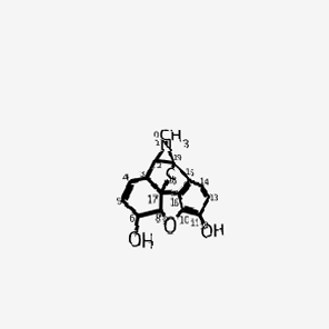 CN1C2C3C=CC(O)C4Oc5c(O)ccc6c5C34CC621